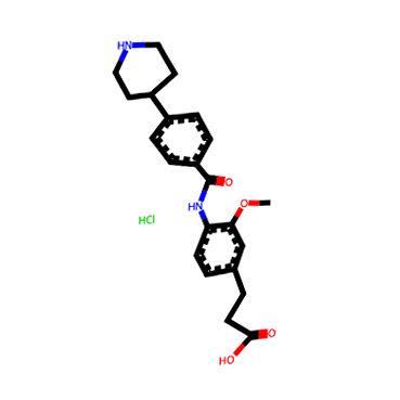 COc1cc(CCC(=O)O)ccc1NC(=O)c1ccc(C2CCNCC2)cc1.Cl